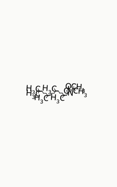 CC(C)=CCCC(C)=CCCC(C)=CCCC(C)=CC1=NC(C(C)C)C(=O)O1